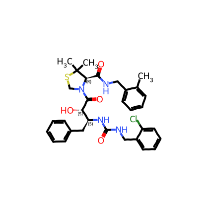 Cc1ccccc1CNC(=O)[C@H]1N(C(=O)[C@@H](O)[C@H](Cc2ccccc2)NC(=O)NCc2ccccc2Cl)CSC1(C)C